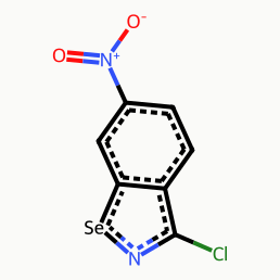 O=[N+]([O-])c1ccc2c(Cl)n[se]c2c1